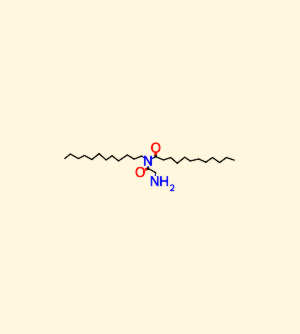 CCCCCCCCCCCCN(C(=O)CN)C(=O)CCCCCCCCCCC